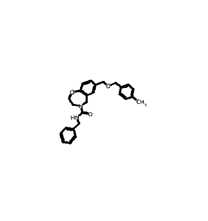 Cc1ccc(COCc2ccc3c(c2)CN(C(=O)NCc2ccccc2)CCO3)cc1